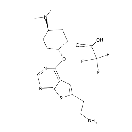 CN(C)[C@H]1CC[C@H](Oc2ncnc3sc(CCN)cc23)CC1.O=C(O)C(F)(F)F